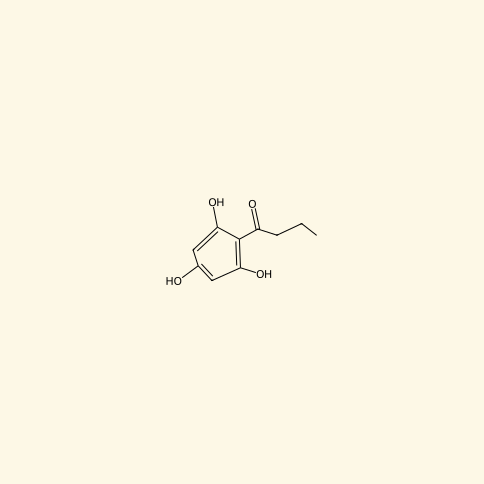 CCCC(=O)c1c(O)cc(O)cc1O